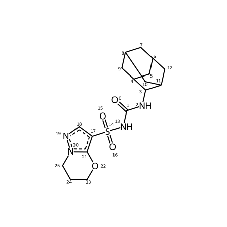 O=C(NC1C2CC3CC(C2)CC1C3)NS(=O)(=O)c1cnn2c1OCCC2